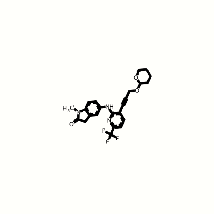 CN1C(=O)Cc2cc(Nc3nc(C(F)(F)F)ccc3C#CCOC3CCCCO3)ccc21